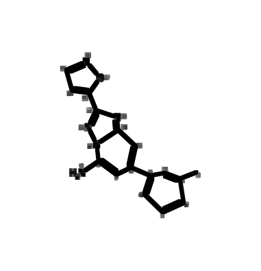 Cc1cccc(-c2cc(N)n3nc(-c4ccno4)nc3c2)c1